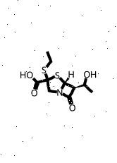 CCSC1(C(=O)O)CN2C(=O)[C@H](C(C)O)[C@H]2S1